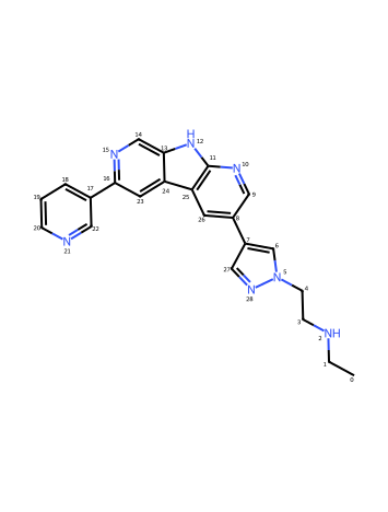 CCNCCn1cc(-c2cnc3[nH]c4cnc(-c5cccnc5)cc4c3c2)cn1